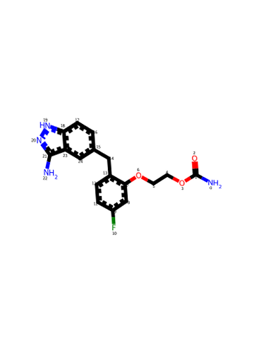 NC(=O)OCCOc1cc(F)ccc1Cc1ccc2[nH]nc(N)c2c1